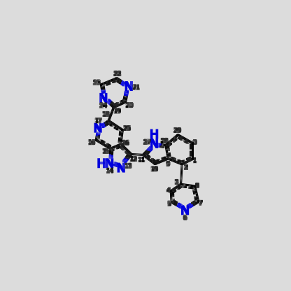 c1cc(-c2ccncc2)c2cc(-c3n[nH]c4cnc(-c5cnccn5)cc34)[nH]c2c1